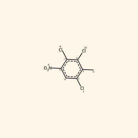 Cc1c(Cl)cc([N+](=O)[O-])c(Cl)c1Cl